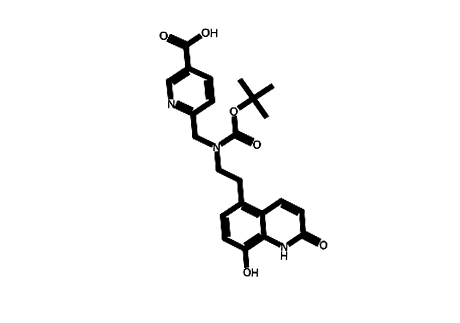 CC(C)(C)OC(=O)N(CCc1ccc(O)c2[nH]c(=O)ccc12)Cc1ccc(C(=O)O)cn1